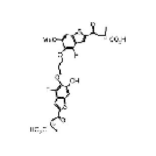 COc1cc2sc(C(=O)C[C@H](C)C(=O)O)cc2c(F)c1OCCCOc1c(O)cc2sc(C(=O)C[C@H](C)C(=O)O)cc2c1F